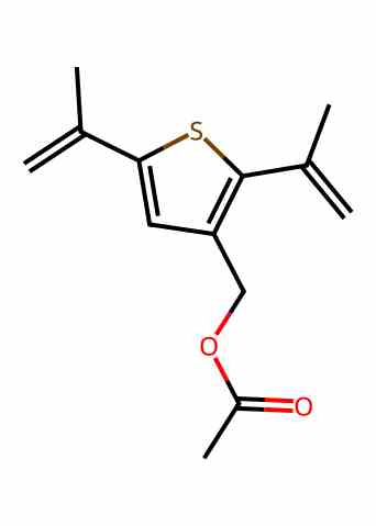 C=C(C)c1cc(COC(C)=O)c(C(=C)C)s1